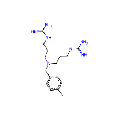 Cc1ccc(CN(CCCNC(=N)N)CCCNC(=N)N)cc1